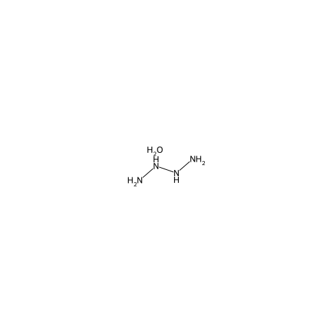 NNNN.O